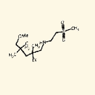 CCC(C)(CNCCS(C)(=O)=O)CC(C)(C)COC